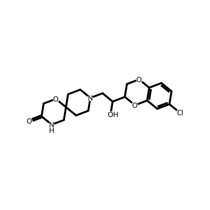 O=C1COC2(CCN(CC(O)C3COc4ccc(Cl)cc4O3)CC2)CN1